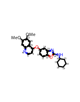 COc1cc2nccc(Oc3ccc4oc(NC5CCCCC5)nc4c3)c2cc1OC